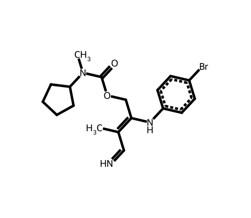 C/C(C=N)=C(\COC(=O)N(C)C1CCCC1)Nc1ccc(Br)cc1